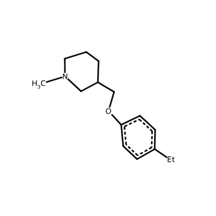 CCc1ccc(OCC2CCCN(C)C2)cc1